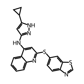 c1ccc2c(Nc3cc(C4CC4)[nH]n3)cc(Sc3ccc4ncsc4c3)nc2c1